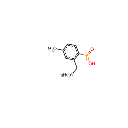 CCCCCCCCc1cc(C)ccc1[PH](=O)O